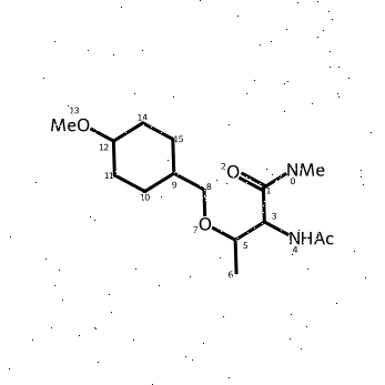 CNC(=O)C(NC(C)=O)C(C)OCC1CCC(OC)CC1